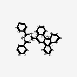 c1ccc(-c2nc(-c3ccccc3)nc(-c3cc4c5ccccc5c5ccccc5c4c4ccccc34)n2)cc1